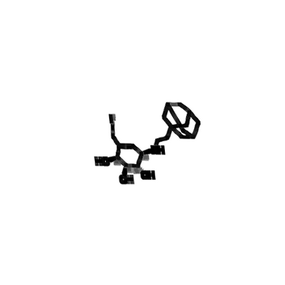 O[C@@H]1[C@@H](O)[C@@H](O)C(CF)=C[C@H]1NCCC12CC3CC(CC(C3)C1)C2